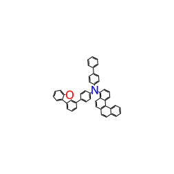 c1ccc(-c2ccc(N(c3ccc(-c4cccc5c4oc4ccccc45)cc3)c3cccc4c3ccc3ccc5ccccc5c34)cc2)cc1